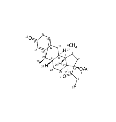 C.CC(=O)O[C@]1(C(=O)CF)CC[C@H]2[C@@H]3CC4C5=CC(=O)CC4[C@]5(C)[C@H]3CC[C@@]21C